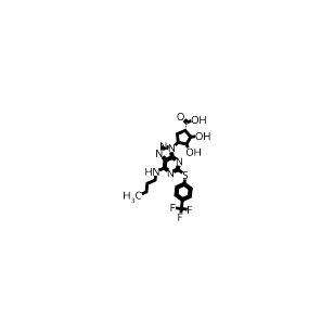 CCCCNc1nc(Sc2ccc(C(F)(F)F)cc2)nc2c1nnn2C1C[C@H](C(=O)O)C(O)C1O